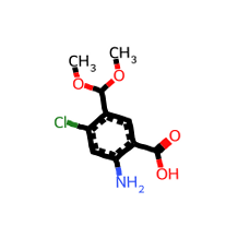 COC(OC)c1cc(C(=O)O)c(N)cc1Cl